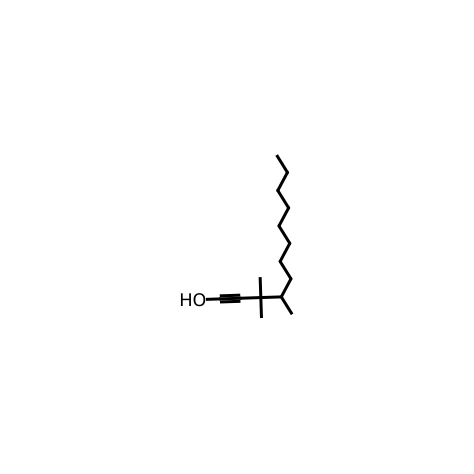 CCCCCCCCC(C)C(C)(C)C#CO